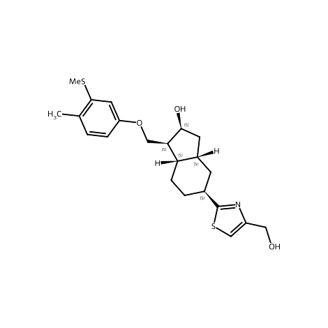 CSc1cc(OC[C@@H]2[C@H]3CC[C@H](c4nc(CO)cs4)C[C@H]3C[C@@H]2O)ccc1C